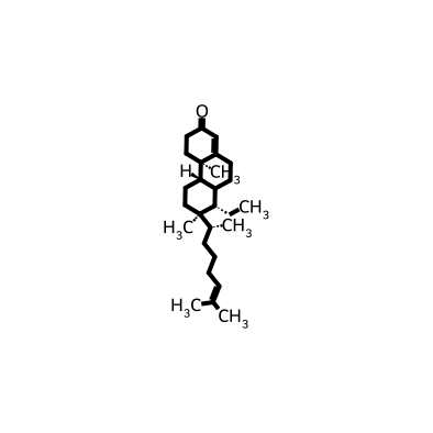 CC[C@H]1C2CCC3=CC(=O)CC[C@]3(C)[C@H]2CC[C@]1(C)[C@H](C)CCCC=C(C)C